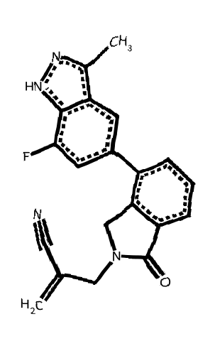 C=C(C#N)CN1Cc2c(cccc2-c2cc(F)c3[nH]nc(C)c3c2)C1=O